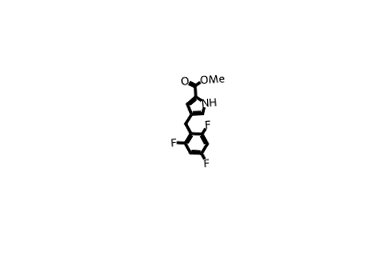 COC(=O)c1cc(Cc2c(F)cc(F)cc2F)c[nH]1